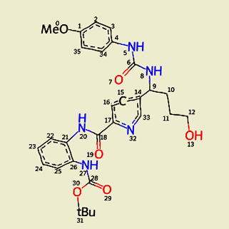 COc1ccc(NC(=O)NC(CCCO)c2ccc(C(=O)Nc3ccccc3NC(=O)OC(C)(C)C)nc2)cc1